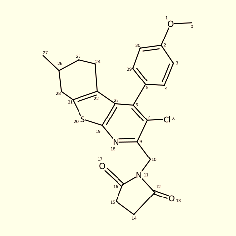 COc1ccc(-c2c(Cl)c(CN3C(=O)CCC3=O)nc3sc4c(c23)CCC(C)C4)cc1